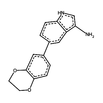 Nc1c[nH]c2ccc(-c3ccc4c(c3)OCCO4)cc12